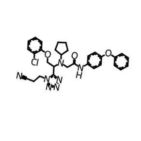 N#CCCn1nnnc1C(COc1ccccc1Cl)N(CC(=O)Nc1ccc(Oc2ccccc2)cc1)C1CCCC1